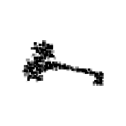 CC(=O)OCC1O[C@H](O[C@@H]2C(OC(C)=O)[C@@H](Oc3ccc(NC(=O)CCOCCOCCOCCOCCOCCC(=O)ON4C(=O)CCC4=O)cc3)OC(CO[C@H]3OC(COC(C)=O)[C@@H](OC(C)=O)[C@H](OC(C)=O)C3OC(C)=O)[C@H]2OC(C)=O)C(OC(C)=O)[C@@H](OC(C)=O)[C@@H]1OC(C)=O